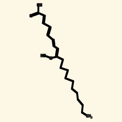 CCCCCCCCCCCC(=CC=CC=CC=CC(=O)O)OO